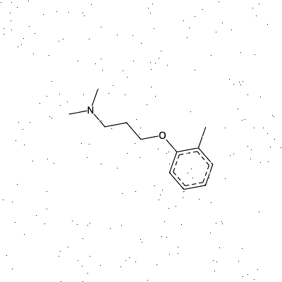 Cc1cc[c]cc1OCCCN(C)C